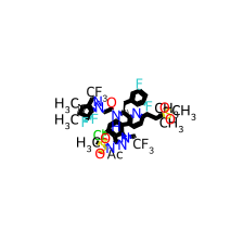 CC(=O)N(c1nn(CC(F)(F)F)c2c(-c3ccc(CCC(C)(C)S(C)(=O)=O)nc3[C@H](Cc3cc(F)cc(F)c3)NC(=O)Cn3nc(C(F)(F)F)c4c3C(F)(F)[C@H](C)[C@@H]4C)ccc(Cl)c12)S(C)(=O)=O